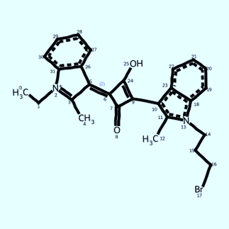 CC[N+]1=C(C)/C(=C2\C(=O)C(c3c(C)n(CCCBr)c4ccccc34)=C2O)c2ccccc21